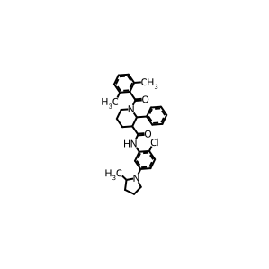 Cc1cccc(C)c1C(=O)N1CCCC(C(=O)Nc2cc(N3CCCC3C)ccc2Cl)C1c1ccccc1